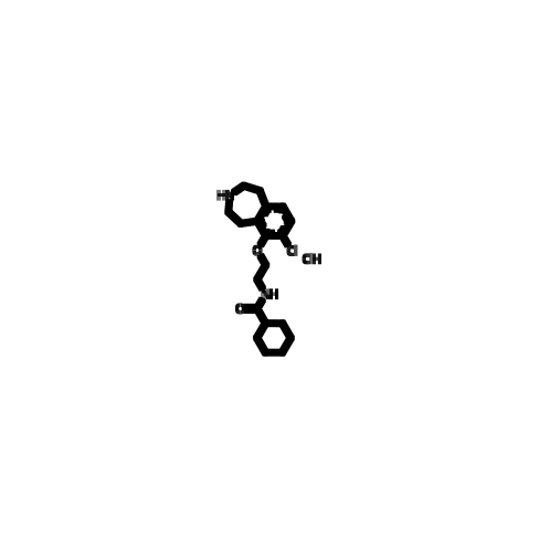 Cl.O=C(NCCOc1c(Cl)ccc2c1CCNCC2)C1CCCCC1